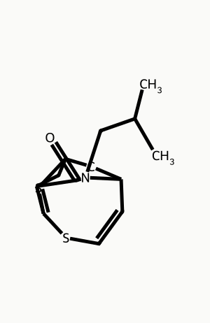 CC(C)CN1C(=O)C2=C3S/C=C\C1CC(C2)S3